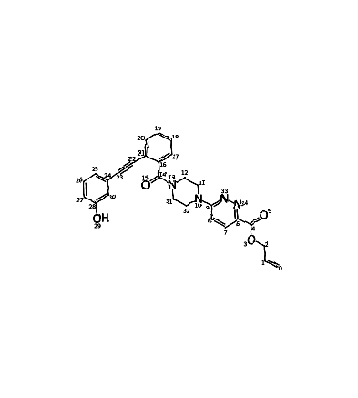 C=CCOC(=O)c1ccc(N2CCN(C(=O)c3ccccc3C#Cc3cccc(O)c3)CC2)nn1